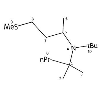 CCCC(C)(C)N(C(C)CCSC)C(C)(C)C